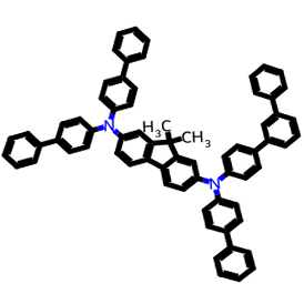 CC1(C)c2cc(N(c3ccc(-c4ccccc4)cc3)c3ccc(-c4ccccc4)cc3)ccc2-c2ccc(N(c3ccc(-c4ccccc4)cc3)c3ccc(-c4cccc(-c5ccccc5)c4)cc3)cc21